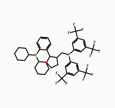 FC(F)(F)c1cc(P(CC2CCCC2c2ccccc2P(C2CCCCC2)C2CCCCC2)c2cc(C(F)(F)F)cc(C(F)(F)F)c2)cc(C(F)(F)F)c1